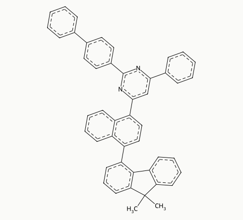 CC1(C)c2ccccc2-c2c(-c3ccc(-c4cc(-c5ccccc5)nc(-c5ccc(-c6ccccc6)cc5)n4)c4ccccc34)cccc21